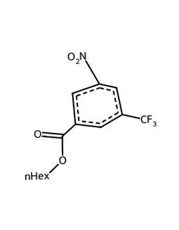 CCCCCCOC(=O)c1cc([N+](=O)[O-])cc(C(F)(F)F)c1